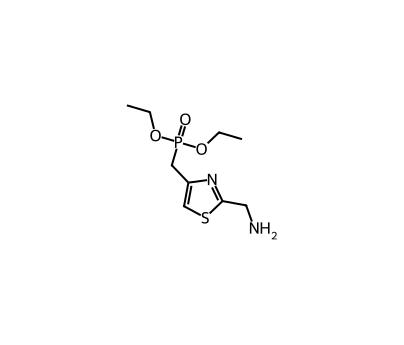 CCOP(=O)(Cc1csc(CN)n1)OCC